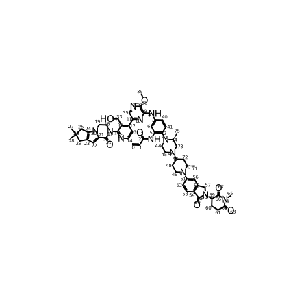 C=CC(=O)Nc1cc(Nc2nc(-c3ccnc(N4CCn5c(cc6c5CC(C)(C)C6)C4=O)c3CO)cnc2OC)ccc1N1CCN(C2CCN(c3ccc4c(c3)CN(C3CCC(=O)N(C)C3=O)C4=O)[C@H](C)C2)C[C@@H]1C